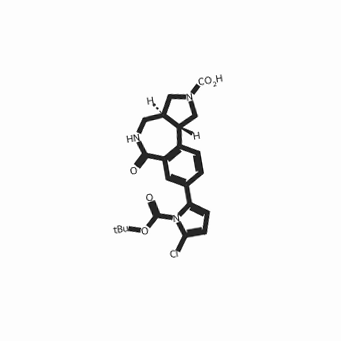 CC(C)(C)OC(=O)n1c(Cl)ccc1-c1ccc2c(c1)C(=O)NC[C@H]1CN(C(=O)O)C[C@H]21